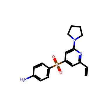 C=Cc1cc(S(=O)(=O)c2ccc(N)cc2)cc(N2CCCC2)n1